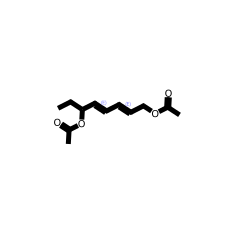 CCC(/C=C/C=C/COC(C)=O)OC(C)=O